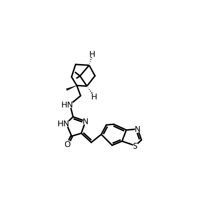 CC1(C)[C@H]2CC[C@@](C)(CNC3=N/C(=C\c4ccc5ncsc5c4)C(=O)N3)[C@@H]1C2